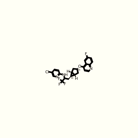 Fc1ccc2nccc(O[C@@H]3C[C@@H]4[C@@H](CC(Nc5ccc(Cl)cn5)C(F)(F)F)[C@@H]4C3)c2c1